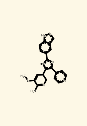 COC1=CC(c2[nH]c(-c3ccc4[nH]ncc4c3)nc2-c2ccncc2)CN=C1N